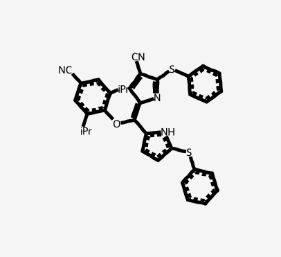 CC(C)c1cc(C#N)cc(C(C)C)c1O/C(=C1\C=C(C#N)C(Sc2ccccc2)=N1)c1ccc(Sc2ccccc2)[nH]1